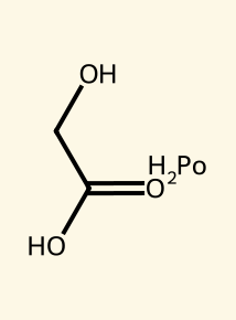 O=C(O)CO.[PoH2]